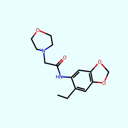 CCc1cc2c(cc1NC(=O)CN1CCOCC1)OCO2